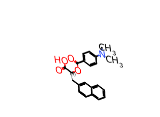 CN(C)c1ccc(C(=O)O[C@H](Cc2ccc3ccccc3c2)C(=O)O)cc1